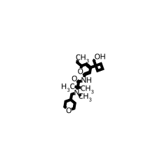 CCC1C=C(C2(CO)CCC2)C=C(NC(=O)C(C)(C)N(C)CC2CCOCC2)O1